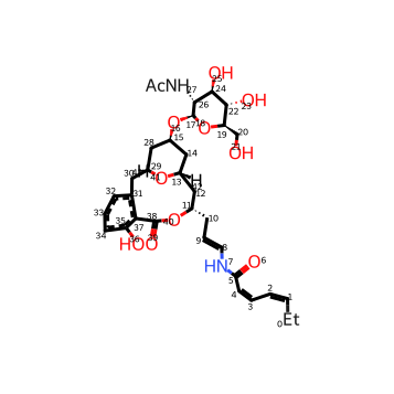 CC/C=C\C=C/C(=O)N/C=C/C[C@H]1C[C@H]2C[C@H](O[C@@H]3O[C@H](CO)[C@@H](O)[C@H](O)[C@H]3NC(C)=O)C[C@H](Cc3cccc(O)c3C(=O)O1)O2